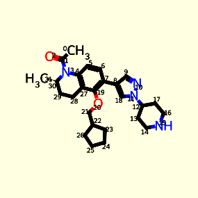 CC(=O)N1c2ccc(-c3cnn(C4CCNCC4)c3)c(OCC3CCCC3)c2CC[C@@H]1C